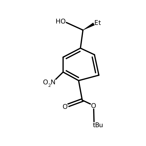 CC[C@H](O)c1ccc(C(=O)OC(C)(C)C)c([N+](=O)[O-])c1